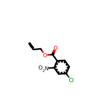 C=CCOC(=O)c1ccc(Cl)cc1[N+](=O)[O-]